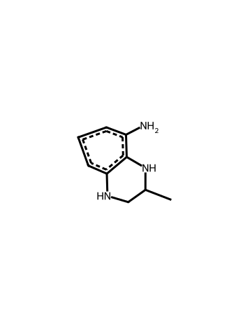 CC1CNc2cccc(N)c2N1